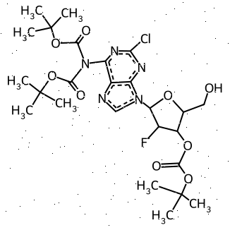 CC(C)(C)OC(=O)OC1C(CO)OC(n2cnc3c(N(C(=O)OC(C)(C)C)C(=O)OC(C)(C)C)nc(Cl)nc32)C1F